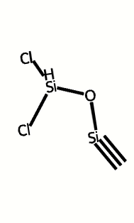 C#[Si]O[SiH](Cl)Cl